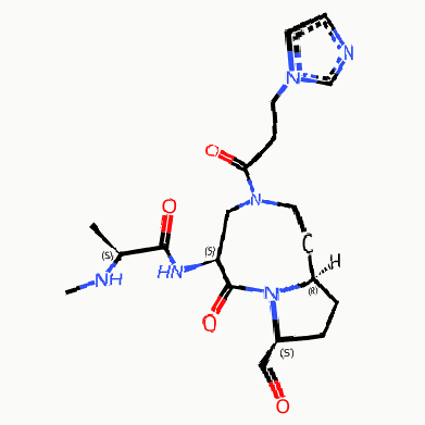 CN[C@@H](C)C(=O)N[C@H]1CN(C(=O)CCn2ccnc2)CC[C@H]2CC[C@@H](C=O)N2C1=O